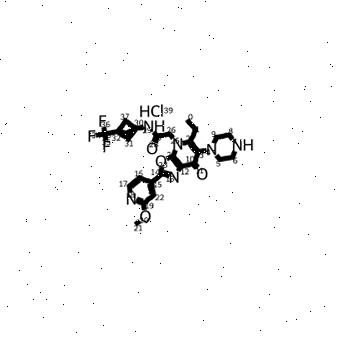 CCc1c(N2CCNCC2)c(=O)c2nc(-c3ccnc(OC)c3)oc2n1CC(=O)NC12CC(C(F)(F)F)(C1)C2.Cl